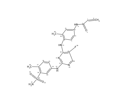 C=CC(=O)Nc1ccc(Nc2nc(Nc3ccc(C)c(S(N)(=O)=O)c3)ncc2F)c(C)c1